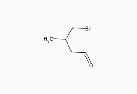 CC(CBr)CC=O